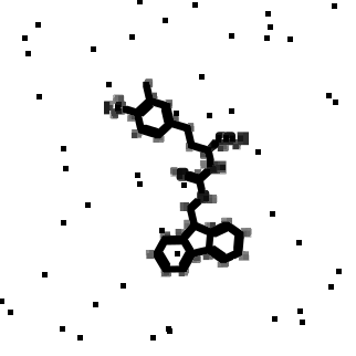 Cc1cc(CC[C@H](NC(=O)OCC2c3ccccc3-c3ccccc32)C(=O)O)ccc1C(F)(F)F